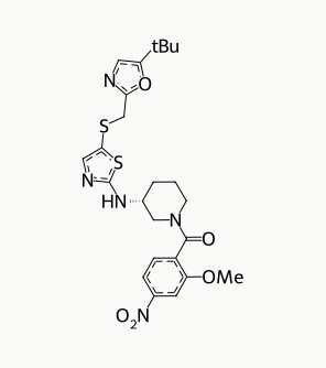 COc1cc([N+](=O)[O-])ccc1C(=O)N1CCC[C@@H](Nc2ncc(SCc3ncc(C(C)(C)C)o3)s2)C1